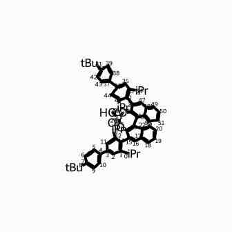 CC(C)c1cc(-c2ccc(C(C)(C)C)cc2)cc(C(C)C)c1-c1cc2ccccc2c2c1OP(=O)(O)Oc1c(-c3c(C(C)C)cc(-c4ccc(C(C)(C)C)cc4)cc3C(C)C)cc3ccccc3c1-2